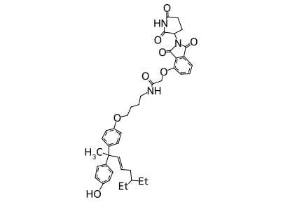 CCC(CC)C/C=C/C(C)(c1ccc(O)cc1)c1ccc(OCCCCNC(=O)COc2cccc3c2C(=O)N(C2CCC(=O)NC2=O)C3=O)cc1